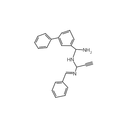 C#CC(/N=C/c1ccccc1)NC(N)c1cccc(-c2ccccc2)c1